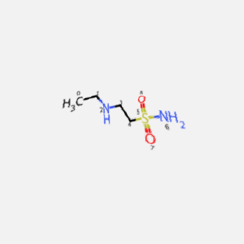 CCNCCS(N)(=O)=O